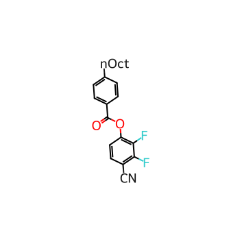 CCCCCCCCc1ccc(C(=O)Oc2ccc(C#N)c(F)c2F)cc1